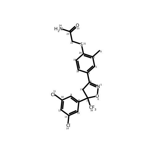 Cc1cc(C2=NOC(c3cc(Cl)cc(Cl)c3)(C(F)(F)F)C2)ccc1SCC(N)=O